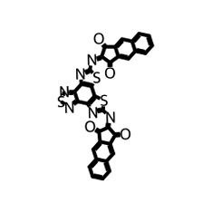 O=c1c(=Nc2nc3c4nsnc4c4nc(N=c5c(=O)c6cc7ccccc7cc6c5=O)sc4c3s2)c(=O)c2cc3ccccc3cc12